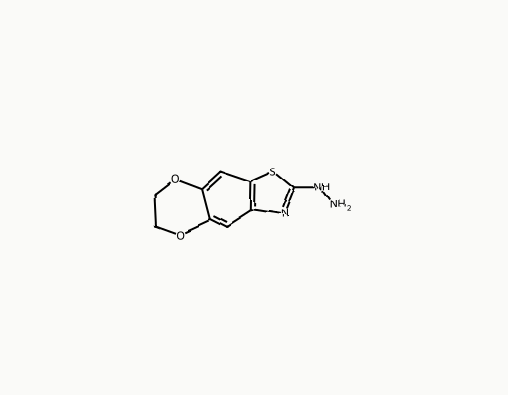 NNc1nc2cc3c(cc2s1)OCCO3